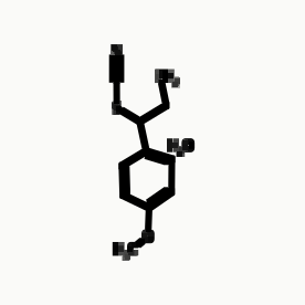 COc1ccc(C(CP)SC#N)cc1.O